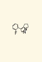 Fc1ccccc1-c1cnn2c1CCC2